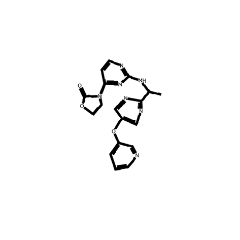 CC(Nc1nccc(N2CCOC2=O)n1)c1ncc(Oc2cccnc2)cn1